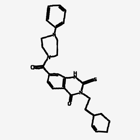 O=C(c1ccc2c(=O)n(CCC3C=CCCC3)c(=S)[nH]c2c1)N1CCN(c2ccccc2)CC1